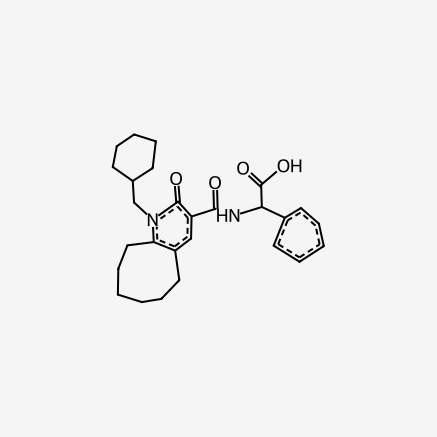 O=C(NC(C(=O)O)c1ccccc1)c1cc2c(n(CC3CCCCC3)c1=O)CCCCCC2